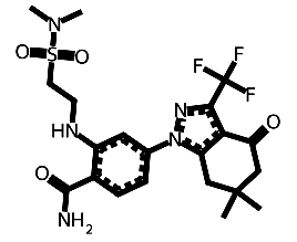 CN(C)S(=O)(=O)CCNc1cc(-n2nc(C(F)(F)F)c3c2CC(C)(C)CC3=O)ccc1C(N)=O